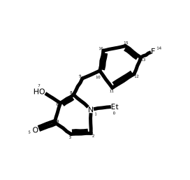 CCn1ccc(=O)c(O)c1Cc1ccc(F)cc1